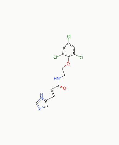 O=C(C=Cc1cnc[nH]1)NCCOc1c(Cl)cc(Cl)cc1Cl